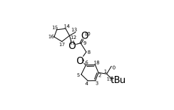 CC(C1=CCCC(OCC(=O)OC2(C)CCCC2)=C1)C(C)(C)C